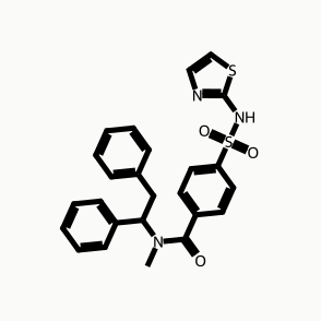 CN(C(=O)c1ccc(S(=O)(=O)Nc2nccs2)cc1)C(Cc1ccccc1)c1ccccc1